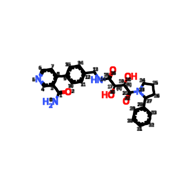 NC(=O)c1cnccc1-c1ccc(CNC(=O)[C@H](O)[C@@H](O)C(=O)N2CCCC2c2ccccc2)cc1